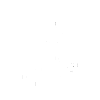 CC(C)(O)C1=CC2=C(CC1)OC[C@H]1NC=CC[C@H]1/C2=C\CCN1CCC(C)([C@@H]2CC=CC=C2Cl)CC1